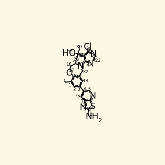 Cc1cc(-c2cnc3sc(N)nc3c2)cc2c1OCCN(c1ncnc(Cl)c1C(C)(C)O)C2